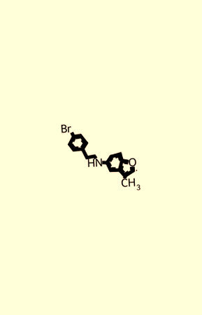 Cc1[c]oc2ccc(NCCc3ccc(Br)cc3)cc12